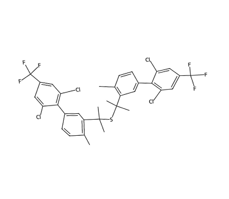 Cc1ccc(-c2c(Cl)cc(C(F)(F)F)cc2Cl)cc1C(C)(C)SC(C)(C)c1cc(-c2c(Cl)cc(C(F)(F)F)cc2Cl)ccc1C